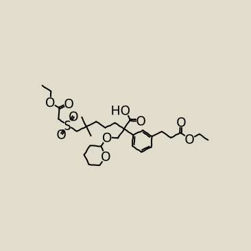 CCOC(=O)CCc1cccc(C(CCCC(C)(C)CS(=O)(=O)CC(=O)OCC)(COC2CCCCO2)C(=O)O)c1